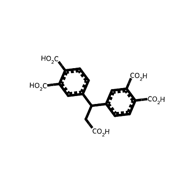 O=C(O)CC(c1ccc(C(=O)O)c(C(=O)O)c1)c1ccc(C(=O)O)c(C(=O)O)c1